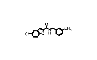 Cc1cccc(CNC(=O)c2cc3cc(Cl)ccc3o2)c1